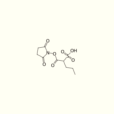 CCCC(C(=O)ON1C(=O)CCC1=O)S(=O)(=O)O